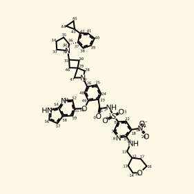 O=C(NS(=O)(=O)c1cnc(NCC2CCOCC2)c([N+](=O)[O-])c1)c1ccc(N2CC3(CC(N4CCC[C@@H]4c4ccccc4C4CC4)C3)C2)cc1Oc1cnc2[nH]ccc2c1